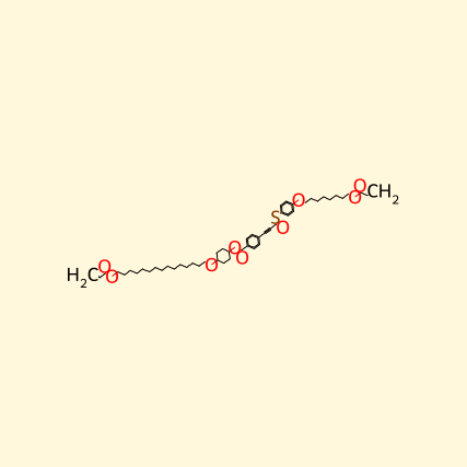 C=CC(=O)OCCCCCCCCCCCCCCCOC1CCC(OC(=O)c2ccc(C#CC(=O)Sc3ccc(OCCCCCCCCOC(=O)C=C)cc3)cc2)CC1